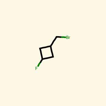 FC1CC(CBr)C1